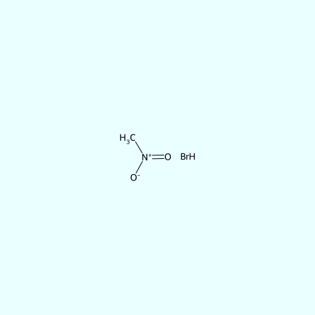 Br.C[N+](=O)[O-]